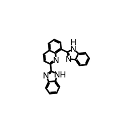 c1cc(-c2nc3ccccc3[nH]2)c2nc(-c3nc4ccccc4[nH]3)ccc2c1